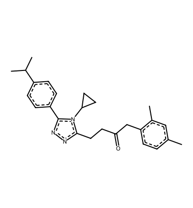 Cc1ccc(CC(=O)CCc2nnc(-c3ccc(C(C)C)cc3)n2C2CC2)c(C)c1